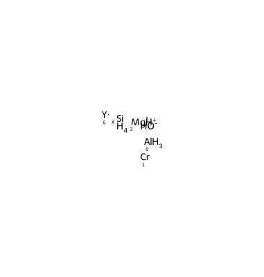 [AlH3].[Cr].[MgH+].[OH-].[SiH4].[Y]